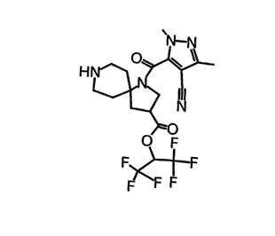 Cc1nn(C)c(C(=O)N2CC(C(=O)OC(C(F)(F)F)C(F)(F)F)CC23CCNCC3)c1C#N